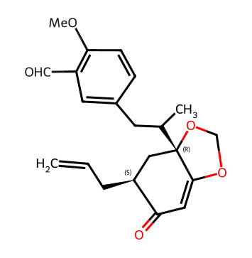 C=CC[C@H]1C[C@]2(C(C)Cc3ccc(OC)c(C=O)c3)OCOC2=CC1=O